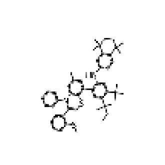 CCC(C)(C)c1cc(-c2cc(C)cc3c2SC=C(c2ccccc2SC)N3c2ccccc2)c(Nc2ccc3c(c2)C(C)(C)CCC3(C)C)cc1C(C)(C)C